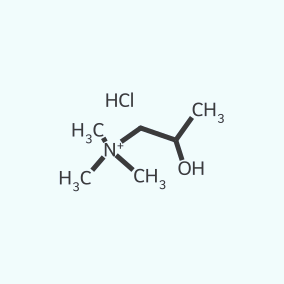 CC(O)C[N+](C)(C)C.Cl